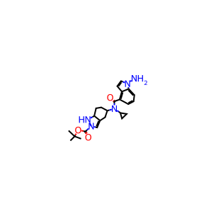 CC(C)(C)OC(=O)N1C=C2CC(N(C(=O)c3cccc4c3ccn4N)C3CC3)CCC2N1